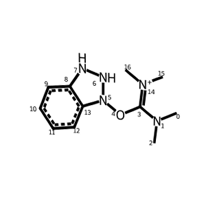 CN(C)C(ON1NNc2ccccc21)=[N+](C)C